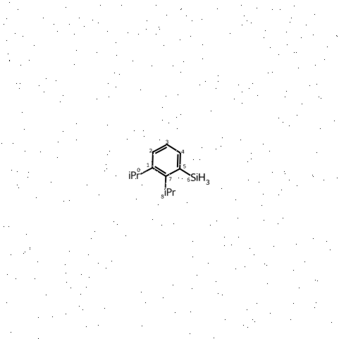 CC(C)c1cccc([SiH3])c1C(C)C